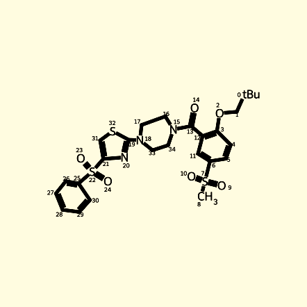 CC(C)(C)COc1ccc(S(C)(=O)=O)cc1C(=O)N1CCN(c2nc(S(=O)(=O)c3ccccc3)cs2)CC1